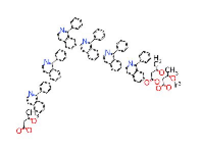 CC(=O)CC(=O)[O-].CC(=O)CC(=O)[O-].CC(=O)CC(=O)[O-].[Ir+3].c1ccc(-c2nccc3ccccc23)cc1.c1ccc(-c2nccc3ccccc23)cc1.c1ccc(-c2nccc3ccccc23)cc1.c1ccc(-c2nccc3ccccc23)cc1.c1ccc(-c2nccc3ccccc23)cc1.c1ccc(-c2nccc3ccccc23)cc1